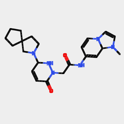 CN1C=CN2C=CC(NC(=O)CN3NC(N4CCC5(CCCC5)C4)C=CC3=O)=CC12